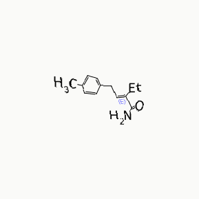 CC/C(=C\Cc1ccc(C)cc1)C(N)=O